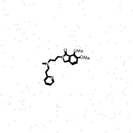 COc1ccc2c(c1OC)C(=O)N(CCCN(C)CCc1ccccn1)C2